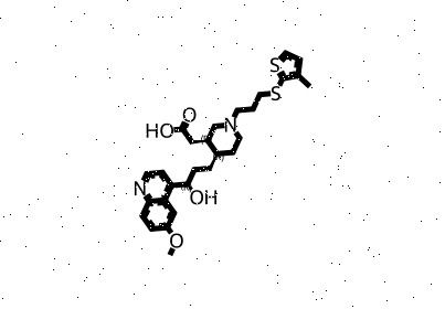 COc1ccc2nccc([C@H](O)CC[C@@H]3CCN(CCCSc4sccc4C)C[C@@H]3CC(=O)O)c2c1